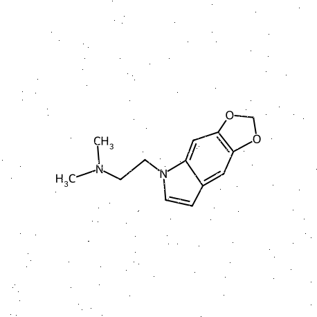 CN(C)CCn1ccc2cc3c(cc21)OCO3